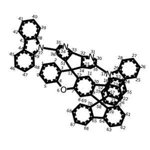 c1ccc2c(c1)Oc1cc3c(cc1C21c2cc(-n4c5ccccc5c5ccccc54)cnc2-c2ncc(-n4c5ccccc5c5ccccc54)cc21)-c1ccccc1C31c2ccccc2-c2ccccc21